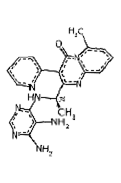 Cc1cccc2nc([C@@H](C)Nc3ncnc(N)c3N)c(-c3ccccn3)c(=O)n12